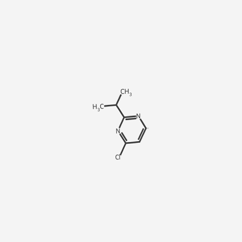 CC(C)c1n[c]cc(Cl)n1